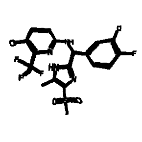 Cc1[nH]c(C(Nc2ccc(Cl)c(C(F)(F)F)n2)c2ccc(F)c(Cl)c2)nc1S(C)(=O)=O